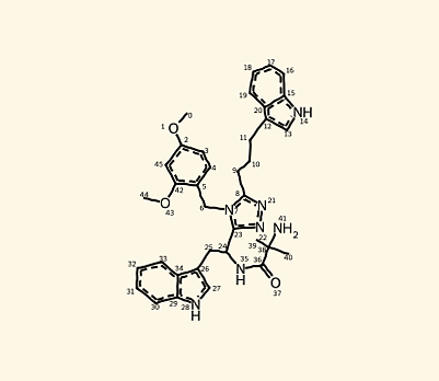 COc1ccc(Cn2c(CCCc3c[nH]c4ccccc34)nnc2C(Cc2c[nH]c3ccccc23)NC(=O)C(C)(C)N)c(OC)c1